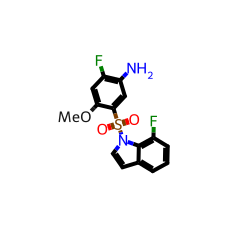 COc1cc(F)c(N)cc1S(=O)(=O)n1ccc2cccc(F)c21